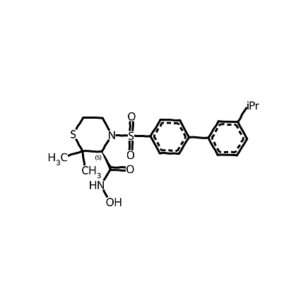 CC(C)c1cccc(-c2ccc(S(=O)(=O)N3CCSC(C)(C)[C@@H]3C(=O)NO)cc2)c1